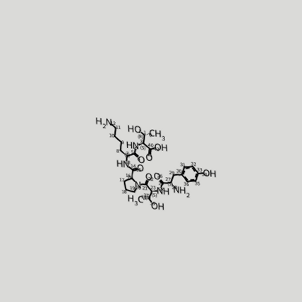 C[C@@H](O)[C@H](NC(=O)[C@H](CCCCN)NC(=O)[C@@H]1CCCN1C(=O)[C@@H](NC(=O)[C@@H](N)Cc1ccc(O)cc1)[C@@H](C)O)C(=O)O